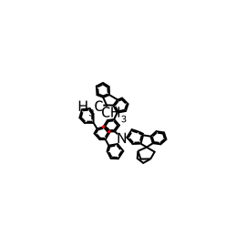 CC1(C)c2ccccc2-c2cccc(-c3cccc(N(c4ccc5c(c4)C4(CC6CCC4C6)c4ccccc4-5)c4ccccc4-c4ccc(-c5ccccc5)cc4)c3)c21